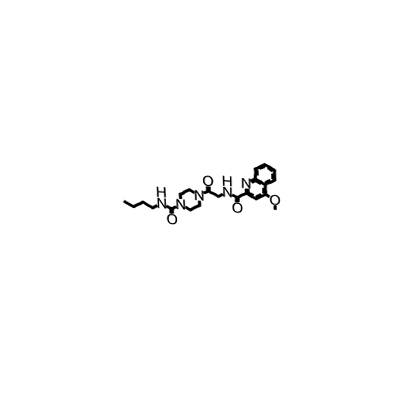 CCCCNC(=O)N1CCN(C(=O)CNC(=O)c2cc(OC)c3ccccc3n2)CC1